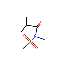 CC(C)C(=O)N(C)S(C)(=O)=O